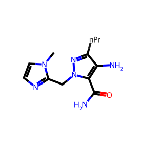 CCCc1nn(Cc2nccn2C)c(C(N)=O)c1N